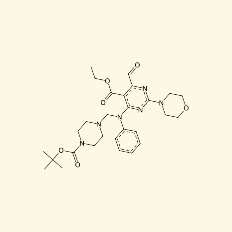 CCOC(=O)c1c(C=O)nc(N2CCOCC2)nc1N(CN1CCN(C(=O)OC(C)(C)C)CC1)c1ccccc1